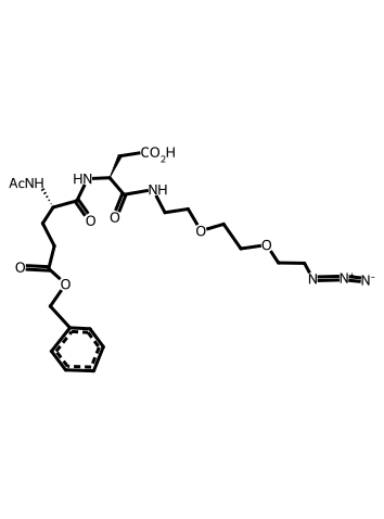 CC(=O)N[C@@H](CCC(=O)OCc1ccccc1)C(=O)N[C@@H](CC(=O)O)C(=O)NCCOCCOCCN=[N+]=[N-]